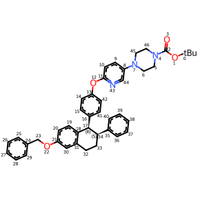 CC(C)(C)OC(=O)N1CCN(c2ccc(Oc3ccc([C@@H]4c5ccc(OCc6ccccc6)cc5CC[C@@H]4c4ccccc4)cc3)nc2)CC1